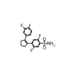 Cc1ccc(C2=C(c3cc(F)c(S(N)(=O)=O)cc3F)CCC2)cc1F